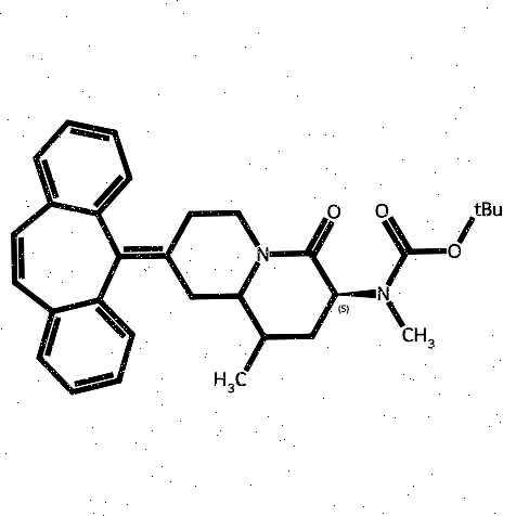 CC1C[C@H](N(C)C(=O)OC(C)(C)C)C(=O)N2CCC(=C3c4ccccc4C=Cc4ccccc43)CC12